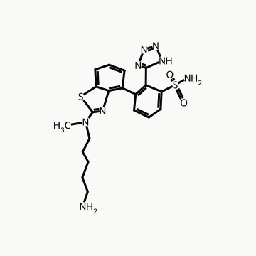 CN(CCCCCN)c1nc2c(-c3cccc(S(N)(=O)=O)c3-c3nnn[nH]3)cccc2s1